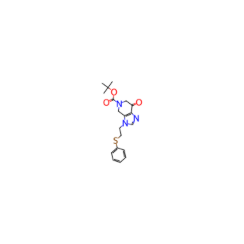 CC(C)(C)OC(=O)N1CC(=O)c2ncn(CCSc3ccccc3)c2C1